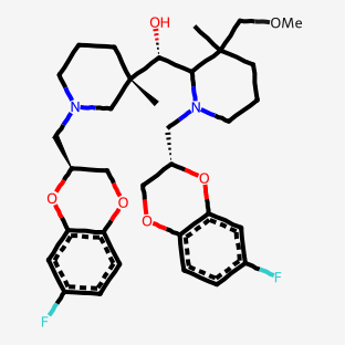 COCC1(C)CCCN(C[C@H]2COc3ccc(F)cc3O2)C1[C@@H](O)[C@@]1(C)CCCN(C[C@H]2COc3ccc(F)cc3O2)C1